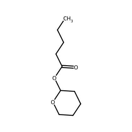 CCCCC(=O)OC1CCCCO1